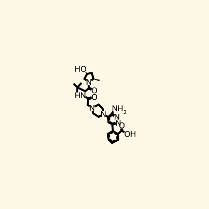 C[C@@H]1C[C@@H](O)CN1C(=O)[C@@H](NC(=O)CN1CCN(c2cc(-c3ccccc3C(=O)O)nnc2N)CC1)C(C)(C)C